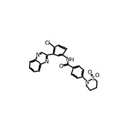 O=C(Nc1ccc(Cl)c(-c2cnc3ccccc3n2)c1)c1ccc(N2CCCCS2(=O)=O)cc1